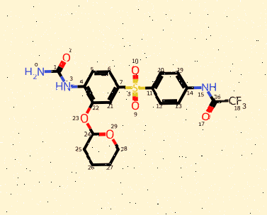 NC(=O)Nc1ccc(S(=O)(=O)c2ccc(NC(=O)C(F)(F)F)cc2)cc1OC1CCCCO1